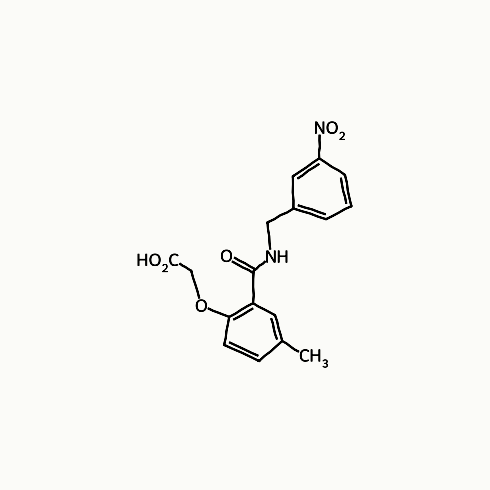 Cc1ccc(OCC(=O)O)c(C(=O)NCc2cccc([N+](=O)[O-])c2)c1